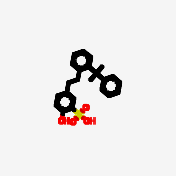 CC(C)(c1ccccc1)c1ccccc1CCc1ccc(O)c(S(=O)(=O)O)c1